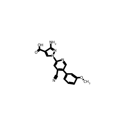 COc1cccc(-c2cnc(-n3cc(C(=O)O)c(N)n3)cc2C#N)c1